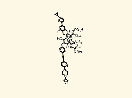 COC(=O)N[C@H](C(=O)N[C@@H](Cc1ccc(C#Cc2ccc(N3CCN(C4COC4)CC3)nc2)cc1)[C@@H](O)CN(Cc1c(F)cc(-c2ccn(C3CC3)n2)cc1F)NC(=O)[C@@H](NC(=O)O)C(C)(C)C)C(C)(C)C(F)(F)F